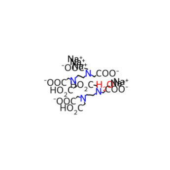 O.O=C([O-])CN(CCN(CC(=O)[O-])CC(=O)O)CC(=O)O.O=C([O-])CN(CCN(CC(=O)[O-])CC(=O)O)CC(=O)[O-].[Na+].[Na+].[Na+].[Na+].[Na+]